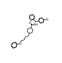 O=C(N[C@@H](c1ccc(Cl)cc1)c1ccccn1)C1CCN(CCCCOc2ccccc2)CC1